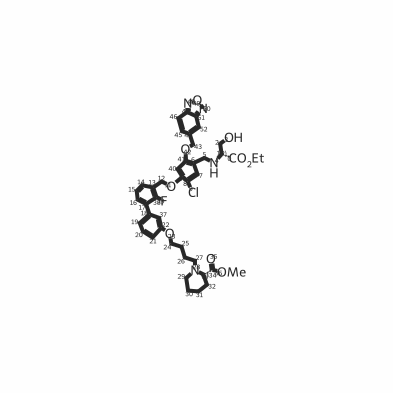 CCOC(=O)[C@@H](CO)NCc1cc(Cl)c(OCc2cccc(-c3cccc(OCCCCN4CCCC[C@H]4C(=O)OC)c3)c2F)cc1OCc1ccc2nonc2c1